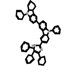 C1=CCC(C2=C(C3=CCCCC3)N=C(C3=CCC4C(=C3)c3cc(-c5ccc6c(c5)C5CCC=CC5N6C5C=CC=CC5)ccc3N4c3ccccc3)NC2c2ccccc2)C=C1